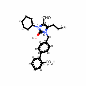 CC(C)CCc1c(C=O)n(C2CCCCC2)c(=O)n1Cc1ccc(-c2ccccc2C(=O)O)cc1